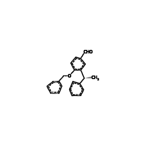 C[C@H](c1ccccc1)c1cc(C=O)ccc1OCc1ccccc1